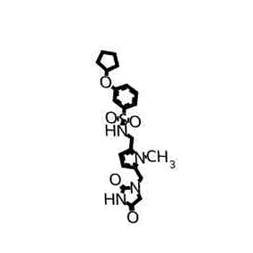 Cn1c(CNS(=O)(=O)c2cccc(OC3CCCC3)c2)ccc1CN1CC(=O)NC1=O